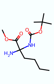 CCCCC(N)(NC(=O)OC(C)(C)C)C(=O)OC